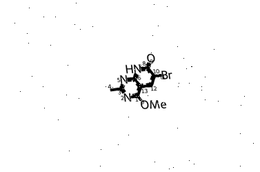 COc1nc(C)nc2[nH]c(=O)c(Br)cc12